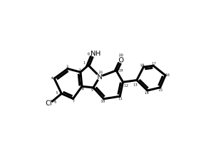 N=C1c2ccc(Cl)cc2-c2ccc(-c3ccccc3)c(=O)n21